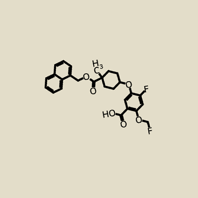 CC1(C(=O)OCc2cccc3ccccc23)CCC(Oc2cc(C(=O)O)c(OCF)cc2F)CC1